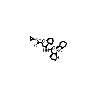 O=C(CC(NC(=O)c1cccnc1-n1cc2c(n1)CCCC2)c1ccccc1)C(=O)NC1CC1